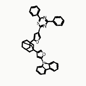 c1ccc(-c2nc(-c3ccccc3)nc(-c3coc(C45CC6CC(CC(c7coc(-n8c9ccccc9c9ccccc98)c7)(C6)C4)C5)c3)n2)cc1